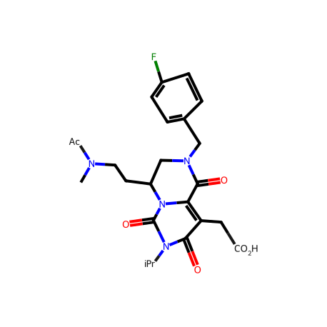 CC(=O)N(C)CCC1CN(Cc2ccc(F)cc2)C(=O)c2c(CC(=O)O)c(=O)n(C(C)C)c(=O)n21